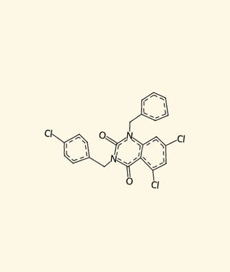 O=c1c2c(Cl)cc(Cl)cc2n(Cc2ccccc2)c(=O)n1Cc1ccc(Cl)cc1